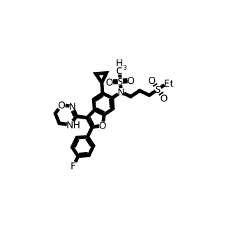 CCS(=O)(=O)CCCN(c1cc2oc(-c3ccc(F)cc3)c(C3=NOCCN3)c2cc1C1CC1)S(C)(=O)=O